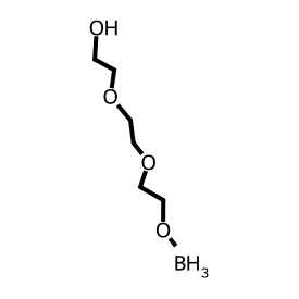 B.COCCOCCOCCO